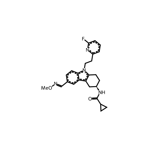 CON=Cc1ccc2c(c1)c1c(n2CCc2cccc(F)n2)CC[C@@H](NC(=O)C2CC2)C1